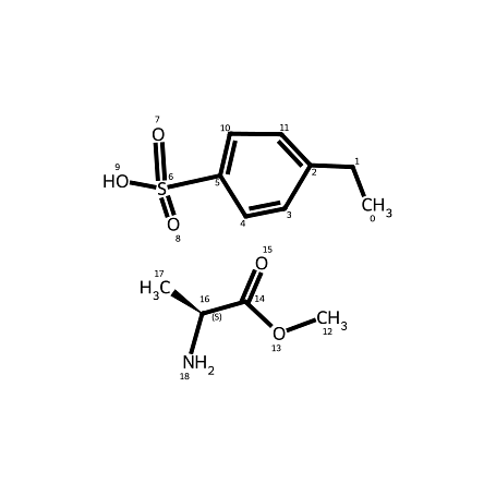 CCc1ccc(S(=O)(=O)O)cc1.COC(=O)[C@H](C)N